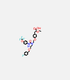 CCOC(Cc1ccc(OCCN(CCCOCc2ccc(F)cc2)C(=O)Nc2ccc(OC(F)(F)F)cc2)cc1)C(=O)O